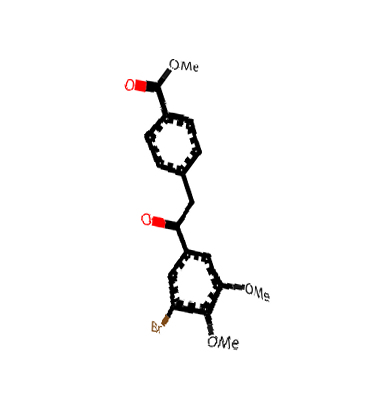 COC(=O)c1ccc(CC(=O)c2cc(Br)c(OC)c(OC)c2)cc1